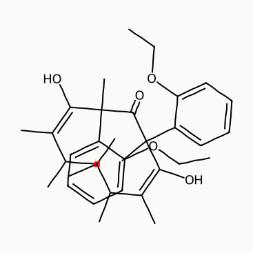 CCOc1ccccc1C(C)(C(=O)C(C)(C(O)=C(C)C(C)CC)c1ccccc1OCC)C(O)=C(C)C(C)CC